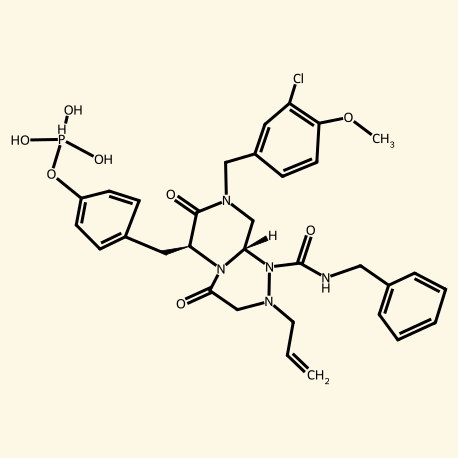 C=CCN1CC(=O)N2[C@@H](Cc3ccc(O[PH](O)(O)O)cc3)C(=O)N(Cc3ccc(OC)c(Cl)c3)C[C@@H]2N1C(=O)NCc1ccccc1